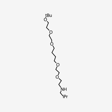 CC(C)CNCCOCCOCCCCOCCOCCOC(C)(C)C